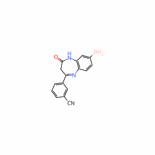 Bc1ccc2c(c1)NC(=O)CC(c1cccc(C#N)c1)=N2